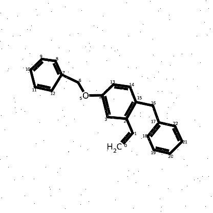 C=Cc1cc(OCc2ccccc2)ccc1Cc1ccccc1